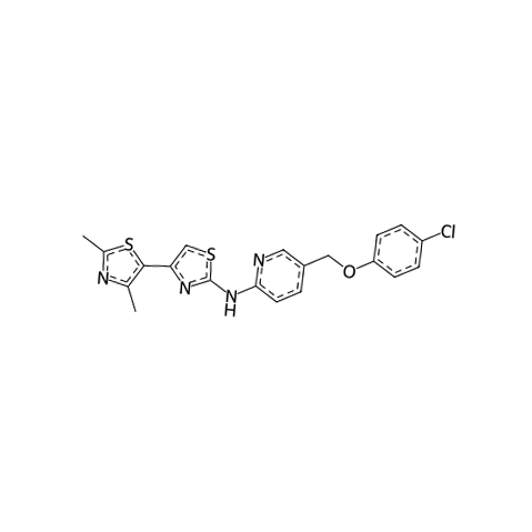 Cc1nc(C)c(-c2csc(Nc3ccc(COc4ccc(Cl)cc4)cn3)n2)s1